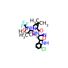 CC(C)(C)C(NC(=O)C(F)(F)F)C(=O)N1CC2C(C1C(=O)NC(C#N)CC1C(=O)Nc3c(Cl)cccc31)C2(C)C